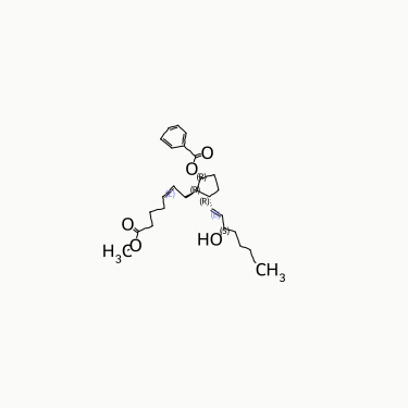 CCCCC[C@H](O)/C=C/[C@H]1CC[C@@H](OC(=O)c2ccccc2)[C@@H]1C/C=C\CCCC(=O)OC